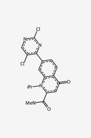 CNC(=O)c1cc(=O)c2ccc(-c3nc(Cl)ncc3Cl)cc2n1C(C)C